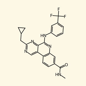 CNC(=O)c1ccc2c(c1)nc(Nc1cccc(C(F)(F)F)c1)c1nc(CC3CC3)ncc12